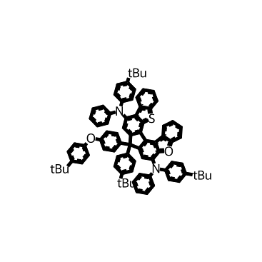 CC(C)(C)c1ccc(Oc2ccc(C3(c4ccc(C(C)(C)C)cc4)c4cc(N(c5ccccc5)c5ccc(C(C)(C)C)cc5)c5c(sc6ccccc65)c4-c4c3cc(N(c3ccccc3)c3ccc(C(C)(C)C)cc3)c3oc5ccccc5c43)cc2)cc1